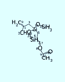 C=C(C)C[Si](CCCOC(C)=O)(O[SiH3])O[SiH3]